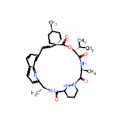 CC(C)[C@H]1OC(=O)[C@]2(/C=C/c3ccc4ccc(nc4c3)[C@@H](C)NC(=O)[C@@H]3CCCN(N3)C(=O)[C@H](C)NC1=O)CC[C@H](C)CC2